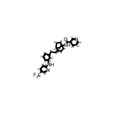 O=C(NC12CC/C(=C/Cc3cccc(Nc4ccc(C(F)(F)F)cn4)c3)C(CC1)C2)c1cccnc1